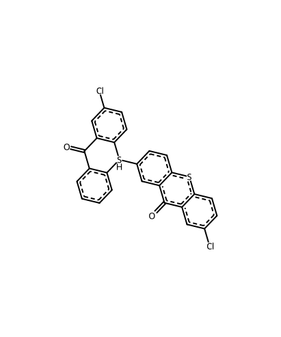 O=C1c2ccccc2[SH](c2ccc3sc4ccc(Cl)cc4c(=O)c3c2)c2ccc(Cl)cc21